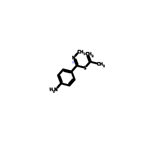 C=C(C)S/C(=N\C)c1ccc(N)cc1